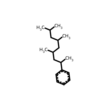 CC(C)CC(C)CC(C)CC(C)c1cc[c]cc1